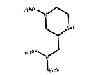 [CH2]CCCCCN1CCNC(CN(CCCCCC)CCCCCC)C1